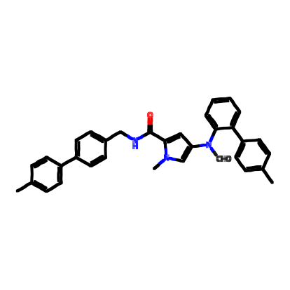 Cc1ccc(-c2ccc(CNC(=O)c3cc(N(C=O)c4ccccc4-c4ccc(C)cc4)cn3C)cc2)cc1